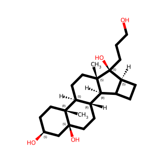 C[C@]12CC[C@H]3[C@@H](CC[C@]4(O)C[C@@H](O)CC[C@]34C)[C@@H]1C1CC[C@@H]1[C@@]2(O)CCCO